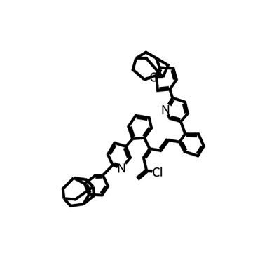 C=C(Cl)/C=C(\C=C\c1ccccc1-c1ccc(-c2ccc3c(c2)C2CC4CC(CC3C4)C2)nc1)c1ccccc1-c1ccc(-c2ccc3c(c2)C2CC4CC(CC3C4)C2)nc1